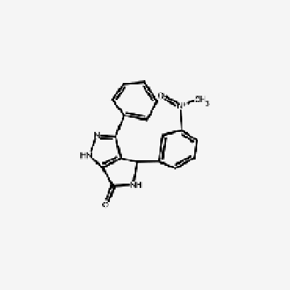 C[N+](=O)c1cccc(C2NC(=O)c3[nH]nc(-c4ccccc4)c32)c1